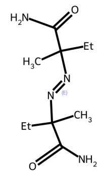 CCC(C)(/N=N/C(C)(CC)C(N)=O)C(N)=O